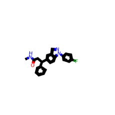 CNC(=O)CC(c1ccccc1)c1ccc2c(cnn2-c2ccc(F)cc2)c1